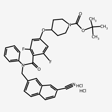 CC(C)(C)OC(=O)N1CCC(Oc2cc(F)c(C(=O)N(Cc3ccc4ccc(C#N)cc4c3)c3ccccc3)c(F)c2)CC1.Cl.Cl